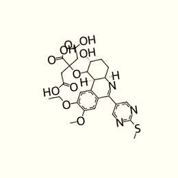 CCOc1cc2c(cc1OC)C(c1cnc(SC)nc1)=N[C@@H]1CC[C@@H](O)C(OC(CC(=O)O)(CC(=O)O)C(=O)O)[C@H]21